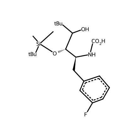 CC(C)(C)C(O)[C@@H](O[Si](C)(C)C(C)(C)C)[C@H](Cc1cccc(F)c1)NC(=O)O